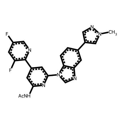 CC(=O)Nc1cc(-c2ncc(F)cc2F)cc(-n2cnc3cc(-c4cnn(C)c4)ccc32)n1